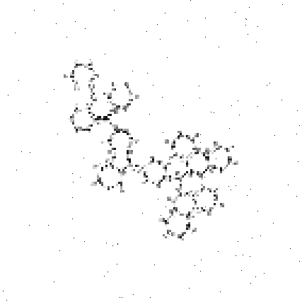 c1ccc(-c2c3ccccc3c(-c3ccc4c(c3)c3cccnc3n4-c3ccc(N(c4cc5ccccc5c5ccccc45)c4cc5ccccc5c5ccccc45)cc3)c3ccccc23)cc1